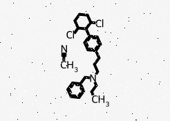 CC#N.CCCN(CCCc1ccc(C2C(Cl)CCCC2Cl)cc1)Cc1ccccc1